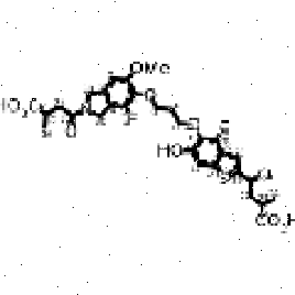 COc1cc2c(c(F)c1OCCCOc1c(O)cc3sc(C(=O)CC(C)C(=O)O)cc3c1Cl)CN(C(=O)CC(C)C(=O)O)C2